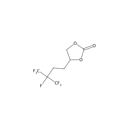 O=C1OCC(CCC(F)(C(F)(F)F)C(F)(F)F)O1